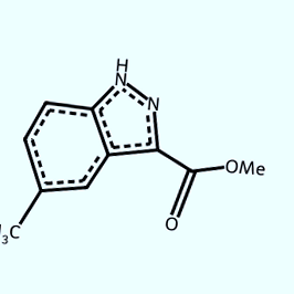 COC(=O)c1n[nH]c2ccc(C)cc12